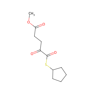 COC(=O)CCC(=O)C(=O)SC1CCCC1